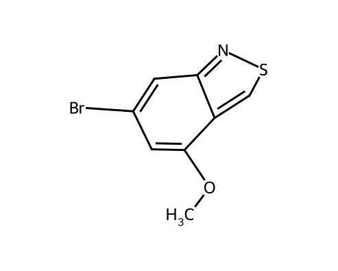 COc1cc(Br)cc2nscc12